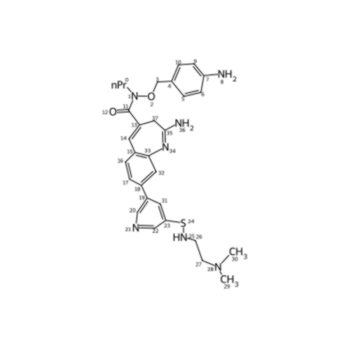 CCCN(OCc1ccc(N)cc1)C(=O)C1=Cc2ccc(-c3cncc(SNCCN(C)C)c3)cc2N=C(N)C1